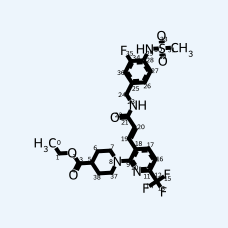 CCOC(=O)C1CCN(c2nc(C(F)(F)F)ccc2C=CC(=O)NCc2ccc(NS(C)(=O)=O)c(F)c2)CC1